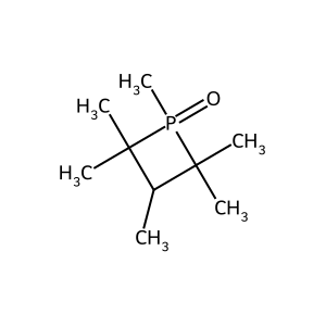 CC1C(C)(C)P(C)(=O)C1(C)C